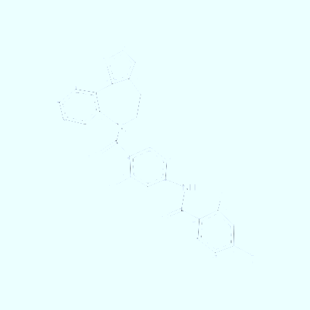 O=C(Nc1ccc(C(=O)N2CCc3ccsc3-c3ccccc32)c(Cl)c1)c1ccc(F)cc1Cl